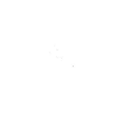 Fc1ccc(-c2cc(C3CCNCC3)n(-c3ncccn3)n2)cc1